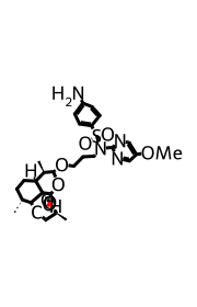 COc1cnc(N(CCCO[C@H]2O[C@@H]3O[C@@]4(C)CCC5[C@H](C)CC[C@@H]([C@H]2C)[C@]53OO4)S(=O)(=O)c2ccc(N)cc2)nc1